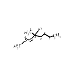 CCCCC(C)(F)SSC